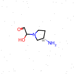 N[C@H]1CCN(C(O)C=O)C1